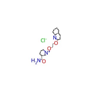 NC(=O)c1ccc[n+](COCCOc2ccc3ccccc3n2)c1.[Cl-]